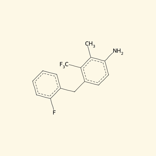 Cc1c(N)ccc(Cc2ccccc2F)c1C(F)(F)F